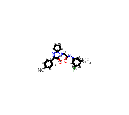 N#Cc1ccc(C2=NC3(CCCC3)N(CC(=O)Nc3cc(F)cc(C(F)(F)F)c3)C2=O)cc1